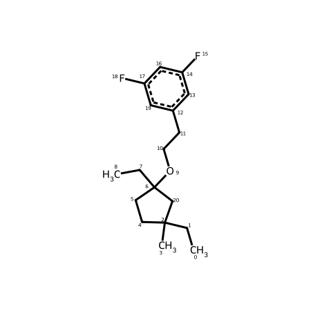 CCC1(C)CCC(CC)(OCCc2cc(F)cc(F)c2)C1